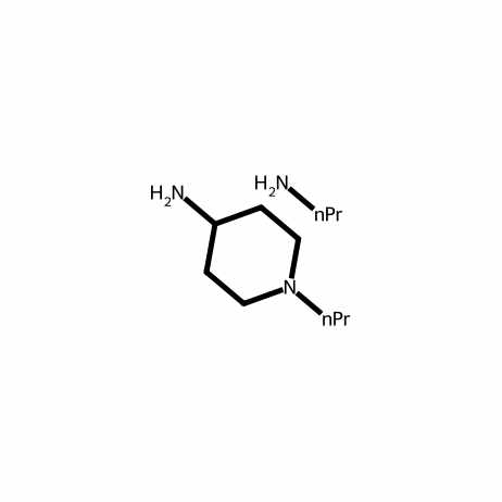 CCCN.CCCN1CCC(N)CC1